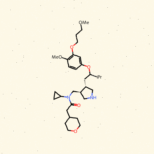 COCCCOc1cc(OC(C[C@@H]2CNC[C@H]2CN(C(=O)CC2CCOCC2)C2CC2)C(C)C)ccc1OC